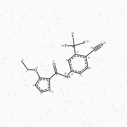 CCOc1ccsc1C(=O)Nc1ccc(C#N)c(C(F)(F)F)c1